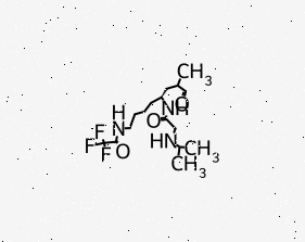 CC(C=O)C[C@H](CCCCNC(=O)C(F)(F)F)NC(=O)CNC(C)C